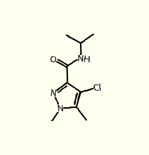 Cc1c(Cl)c(C(=O)NC(C)C)nn1C